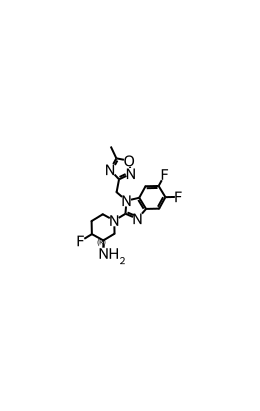 Cc1nc(Cn2c(N3CCC(F)[C@H](N)C3)nc3cc(F)c(F)cc32)no1